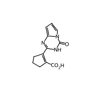 O=C(O)C1=C(c2nc3cccn3c(=O)[nH]2)CCC1